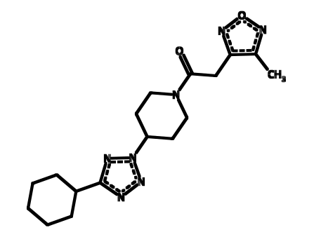 Cc1nonc1CC(=O)N1CCC(n2nnc(C3CCCCC3)n2)CC1